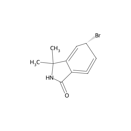 CC1(C)NC(=O)C2=C=C[C@@H](Br)C=C21